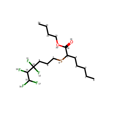 CCCCCC(SCCCC(F)(F)C(F)C(F)F)C(=O)OCCCC